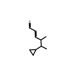 CC(C=CC=S)C(C)C1CC1